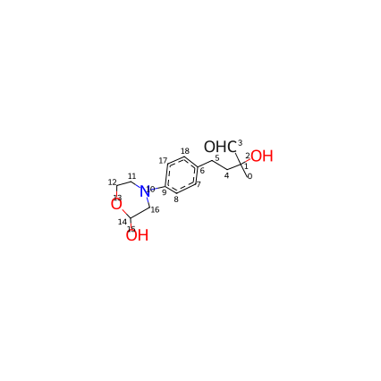 CC(O)(C=O)CCc1ccc(N2CCOC(O)C2)cc1